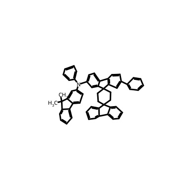 CC1(C)c2ccccc2-c2ccc(N(c3ccccc3)c3ccc4c(c3)C3(CCC5(CC3)c3ccccc3-c3ccccc35)c3cc(-c5ccccc5)ccc3-4)cc21